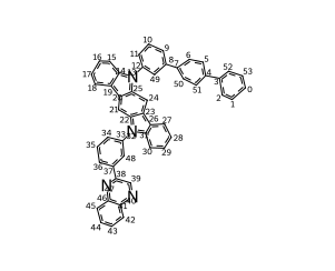 c1ccc(-c2ccc(-c3cccc(-n4c5ccccc5c5cc6c(cc54)c4ccccc4n6-c4cccc(-c5cnc6ccccc6n5)c4)c3)cc2)cc1